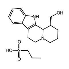 CCCS(=O)(=O)O.OC[C@H]1CCCN2CCc3c([nH]c4ccccc34)C12